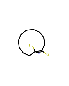 S/C1=C(/S)CCCCCCCCCC1